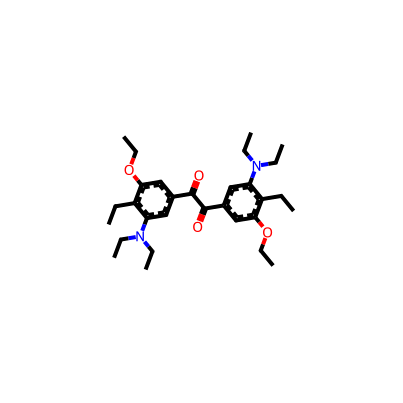 CCOc1cc(C(=O)C(=O)c2cc(OCC)c(CC)c(N(CC)CC)c2)cc(N(CC)CC)c1CC